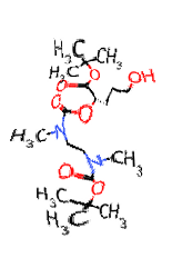 CN(CCN(C)C(=O)OC(C)(C)C)C(=O)O[C@@H](CCCO)C(=O)OC(C)(C)C